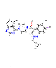 C[C@@H]1CCc2ncnc(N3CCN(C(=O)[C@H](CNCC4CC4)c4ccc(I)c(F)c4)CC3)c21